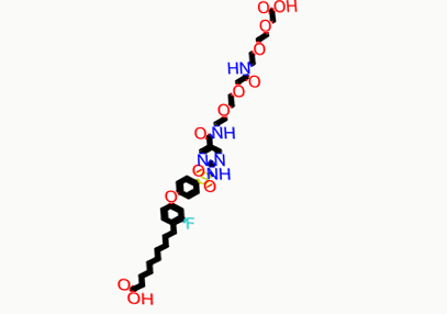 O=C(O)CCCCCCCCCc1ccc(Oc2ccc(S(=O)(=O)Nc3ncc(C(=O)NCCOCCOCC(=O)NCCOCCOCC(=O)O)cn3)cc2)cc1F